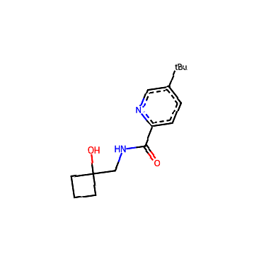 CC(C)(C)c1ccc(C(=O)NCC2(O)CCC2)nc1